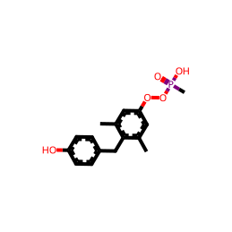 Cc1cc(OOP(C)(=O)O)cc(C)c1Cc1ccc(O)cc1